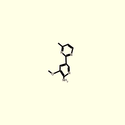 COc1cc(-c2nccc(C)n2)cnc1N